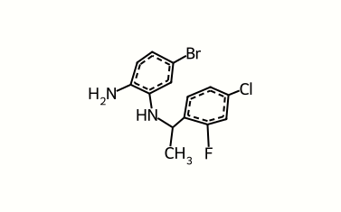 CC(Nc1cc(Br)ccc1N)c1ccc(Cl)cc1F